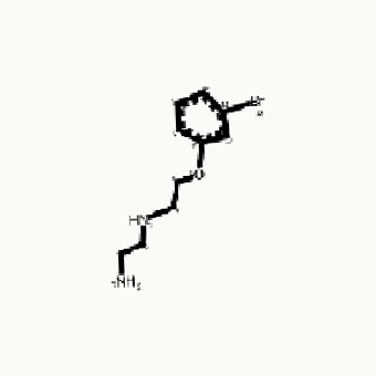 NCCNCCOc1cccc(Br)c1